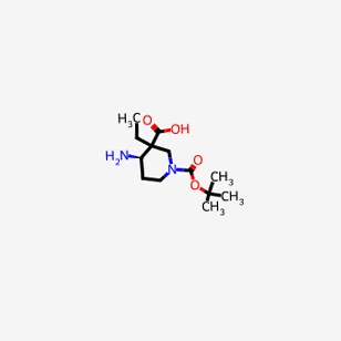 CCC1(C(=O)O)CN(C(=O)OC(C)(C)C)CC[C@H]1N